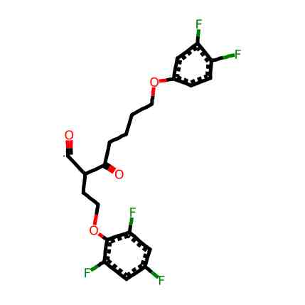 O=[C]C(CCOc1c(F)cc(F)cc1F)C(=O)CCCCOc1ccc(F)c(F)c1